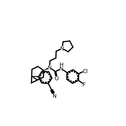 N#Cc1cccc([C@@]23CC[C@@H](N(CCCN4CCCC4)C(=O)Nc4ccc(F)c(Cl)c4)CC2C3)c1